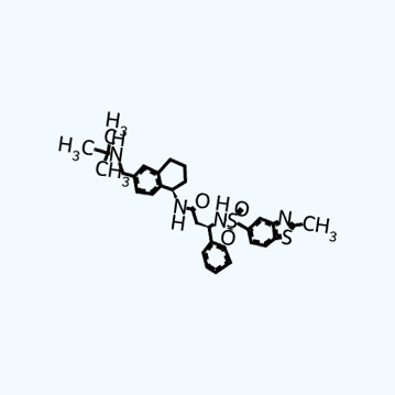 Cc1nc2cc(S(=O)(=O)N[C@H](CC(=O)N[C@@H]3CCCc4cc(CNC(C)(C)C)ccc43)c3ccccc3)ccc2s1